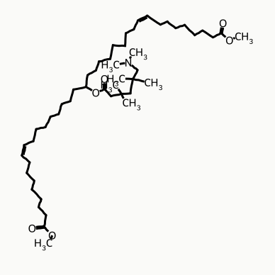 COC(=O)CCCCCCC/C=C\CCCCCCCCC(CCCCCCCC/C=C\CCCCCCCC(=O)OC)OC(=O)CC(C)(C)CC(C)(C)CN(C)C